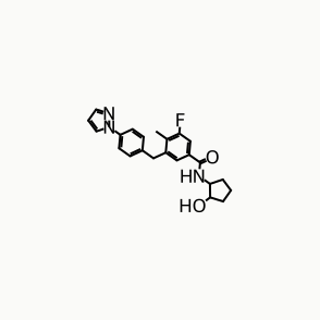 Cc1c(F)cc(C(=O)NC2CCCC2O)cc1Cc1ccc(-n2cccn2)cc1